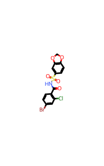 O=C(NS(=O)(=O)c1ccc2c(c1)OCO2)c1ccc(Br)cc1Cl